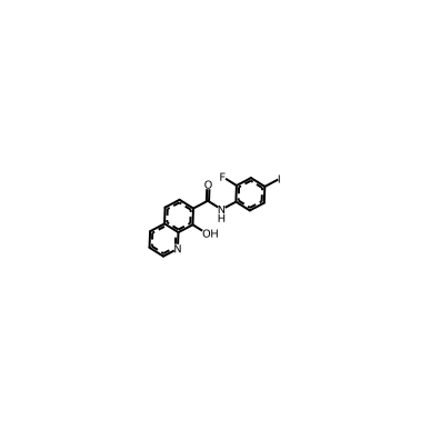 O=C(Nc1ccc(I)cc1F)c1ccc2cccnc2c1O